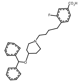 O=C(O)c1ccc(CCCCN2CCC(OC(c3ccccc3)c3ccccc3)CC2)c(F)c1